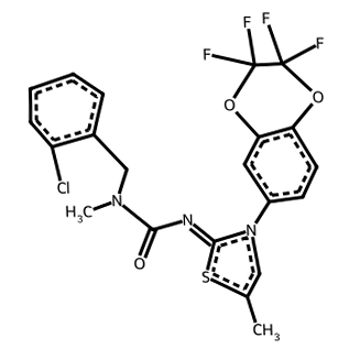 Cc1cn(-c2ccc3c(c2)OC(F)(F)C(F)(F)O3)c(=NC(=O)N(C)Cc2ccccc2Cl)s1